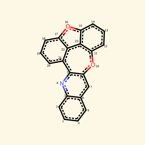 c1ccc2nc3c(cc2c1)oc1cccc2oc4cccc3c4c12